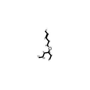 CC=CCCOC(CC)CCC